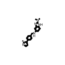 CN(C)c1nc2cc(NCc3ccc(-c4ccnn4C)cc3)ccc2[nH]1